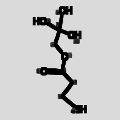 O=C(CCS)OCC(O)(O)O